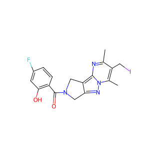 Cc1nc2c3c(nn2c(C)c1CI)CN(C(=O)c1ccc(F)cc1O)C3